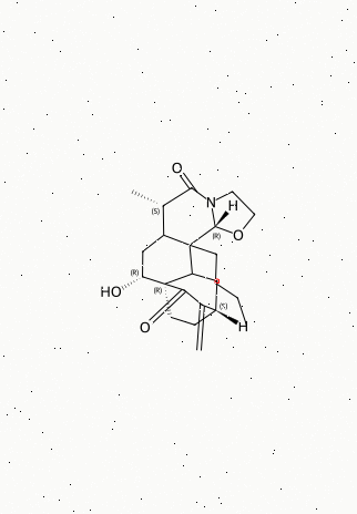 C=C1C(=O)[C@]23CC[C@H]1CC2C1(CCCC)C(C[C@H]3O)[C@H](C)C(=O)N2CCO[C@@H]21